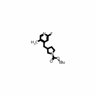 Cc1cnc(F)cc1CC1CCN(C(=O)OC(C)(C)C)C1